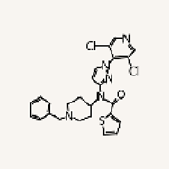 O=C(c1cccs1)N(c1ccn(-c2c(Cl)cncc2Cl)n1)C1CCN(Cc2ccccc2)CC1